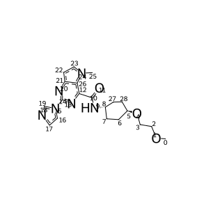 COCCO[C@H]1CC[C@H](NC(=O)c2nc(-n3ccnc3)nc3ccn(C)c23)CC1